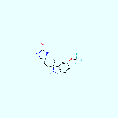 CN(C)[C@]1(c2cccc(OC(F)(F)F)c2)CC[C@]2(CC1)CNC(O)N2